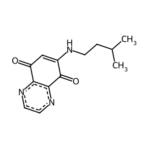 CC(C)CCNC1=CC(=O)c2nccnc2C1=O